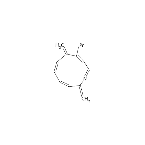 C=c1ccccc(=C)c(C(C)C)ccn1